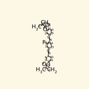 C=C(C)C(=O)Oc1ccc(C#Cc2ccc(C#Cc3cccc(OC(=O)C(=C)C)c3)c(F)c2)cc1